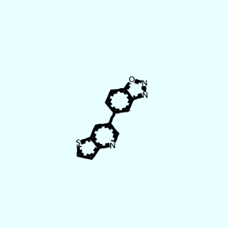 [c]1c(-c2cnc3ccsc3c2)ccc2onnc12